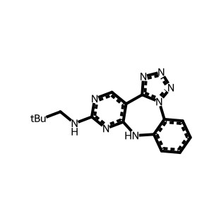 CC(C)(C)CNc1ncc2c(n1)Nc1ccccc1-n1nnnc1-2